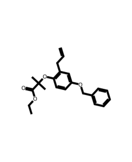 C=CCc1cc(OCc2ccccc2)ccc1OC(C)(C)C(=O)OCC